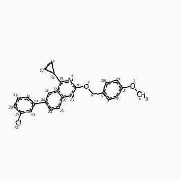 COc1ccc(COc2nc(C3CC3)c3cc(-c4cccc(Cl)c4)ccc3n2)cc1